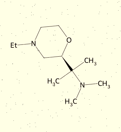 CCN1CCO[C@@H](C(C)(C)N(C)C)C1